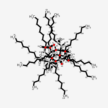 CCCCCCCCS(=O)(=O)N(F)C(N(F)S(=O)(=O)CCCCCCCC)(N(F)S(=O)(=O)CCCCCCCC)C(OC(N(F)S(=O)(=O)CCCCCCCC)(C(N(F)S(=O)(=O)CCCCCCCC)(N(F)S(=O)(=O)CCCCCCCC)N(F)S(=O)(=O)CCCCCCCC)[N+](F)(CC)S(=O)(=O)CCCCCCCC)(N(F)S(=O)(=O)CCCCCCCC)[N+](F)(CC)S(=O)(=O)CCCCCCCC